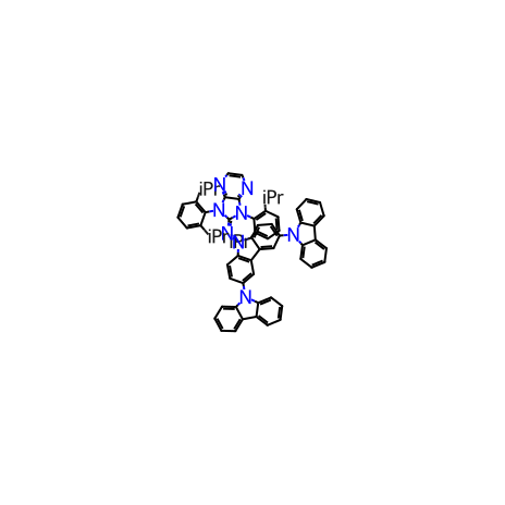 CC(C)c1cccc(C(C)C)c1-n1c(=Nn2c3ccc(-n4c5ccccc5c5ccccc54)cc3c3cc(-n4c5ccccc5c5ccccc54)ccc32)n(-c2c(C(C)C)cccc2C(C)C)c2nccnc21